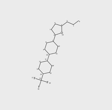 CCCC1CCC(C2CCC(C3CCC(C(F)(F)F)CC3)CC2)O1